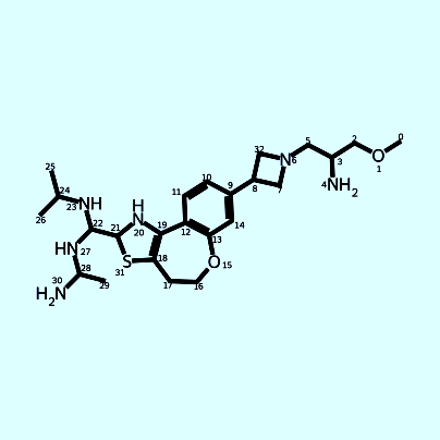 COCC(N)CN1CC(c2ccc3c(c2)OCCC2=C3NC(C(NC(C)C)NC(C)N)S2)C1